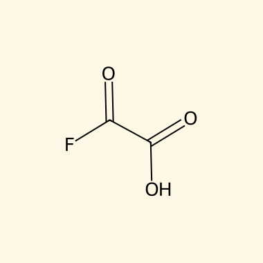 O=C(O)C(=O)F